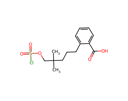 CC(C)(CCCc1ccccc1C(=O)O)COS(=O)(=O)Cl